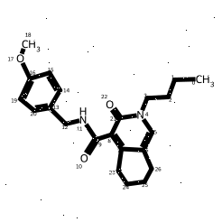 CCCCn1cc2c(c(C(=O)NCc3ccc(OC)cc3)c1=O)CCCC2